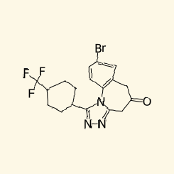 O=C1Cc2cc(Br)ccc2-n2c(nnc2C2CCC(C(F)(F)F)CC2)C1